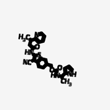 CC(CC(=O)Nc1sc2c(c1C#N)CCC(COC(=O)NC(C)c1ccc[nH]1)C2)c1ccccn1